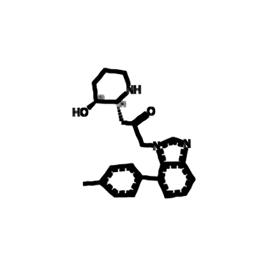 Cc1ccc(-c2cccc3ncn(CC(=O)C[C@H]4NCCC[C@@H]4O)c23)cc1